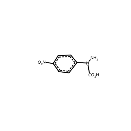 NN(C(=O)O)c1ccc([N+](=O)[O-])cc1